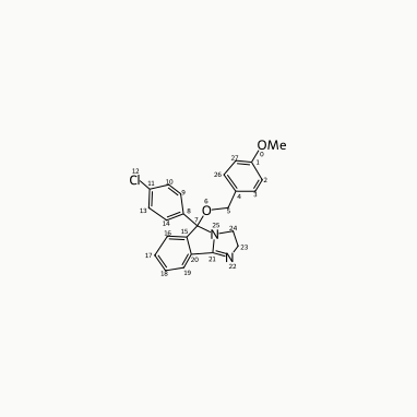 COc1ccc(COC2(c3ccc(Cl)cc3)c3ccccc3C3=NCCN32)cc1